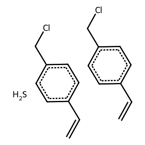 C=Cc1ccc(CCl)cc1.C=Cc1ccc(CCl)cc1.S